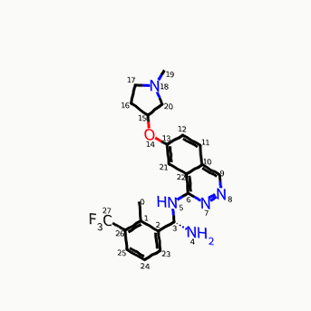 Cc1c([C@@H](N)Nc2nncc3ccc(OC4CCN(C)C4)cc23)cccc1C(F)(F)F